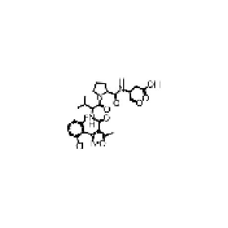 Cc1onc(-c2c(F)cccc2Cl)c1C(=O)NC(C(=O)N1CCCC1C(=O)NC(C=O)CC(=O)O)C(C)C